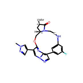 CO[C@@H]1C[C@H]2COc3nc4c(cnn4cc3-c3cnn(C)c3)-c3cc(F)cc(c3)NCCN2C1=O